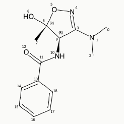 CN(C)C1=NO[C@@](C)(O)[C@@H]1NC(=O)c1ccccc1